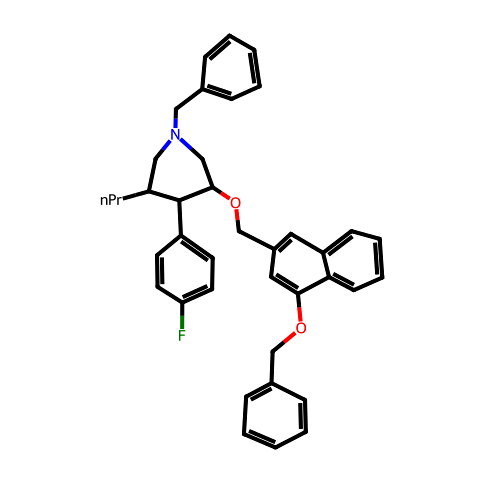 CCCC1CN(Cc2ccccc2)CC(OCc2cc(OCc3ccccc3)c3ccccc3c2)C1c1ccc(F)cc1